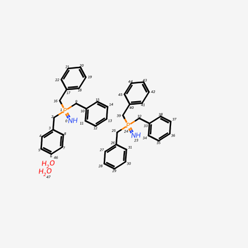 N=P(Cc1ccccc1)(Cc1ccccc1)Cc1ccccc1.N=P(Cc1ccccc1)(Cc1ccccc1)Cc1ccccc1.O.O